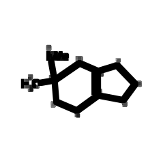 CNC1(C)CCC2=C(CCC2)C1